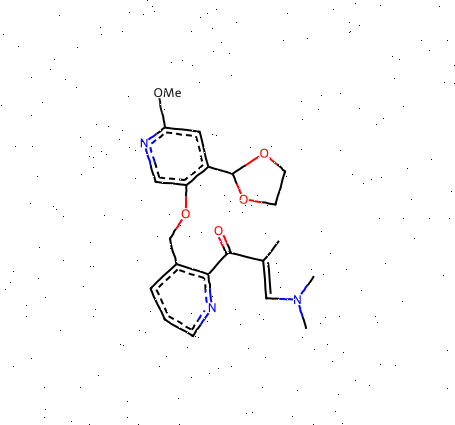 COc1cc(C2OCCO2)c(OCc2cccnc2C(=O)C(C)=CN(C)C)cn1